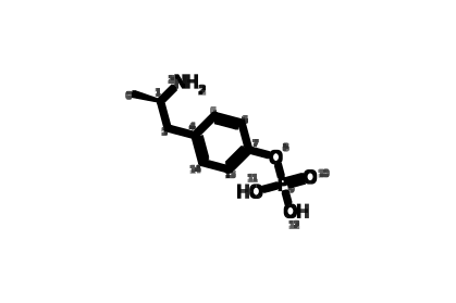 C[C@@H](N)Cc1ccc(OP(=O)(O)O)cc1